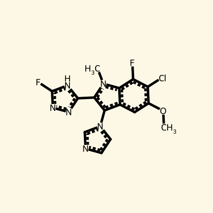 COc1cc2c(-n3ccnc3)c(-c3nnc(F)[nH]3)n(C)c2c(F)c1Cl